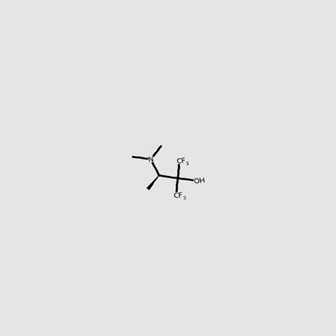 C[C@@H](N(C)C)C(O)(C(F)(F)F)C(F)(F)F